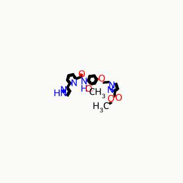 CCOC(=O)c1ccn(CCOc2ccc(NC(=O)c3cccc(-c4cc[nH]n4)n3)c(OC)c2)n1